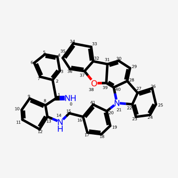 N=C(c1ccccc1)c1ccccc1NCc1cccc(-n2c3ccccc3c3ccc4c5ccccc5oc4c32)c1